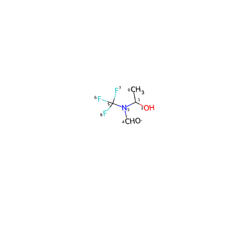 CC(O)N([C]=O)C(F)(F)F